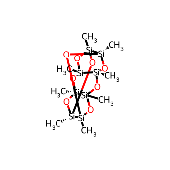 C[Si]12O[Si]3(C)O[Si@]4(C)O[Si@@](C)(O1)[Si]1(C)O[Si]4(C)O[Si@]3(C)O[Si@@]2(C)O1